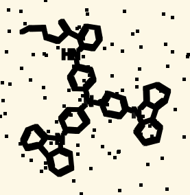 C=C(/C=C\C=C/C)c1ccccc1Nc1ccc(N(c2ccc(-n3c4ccccc4c4ccccc43)cc2)c2ccc(-n3c4ccccc4c4ccccc43)cc2)cc1